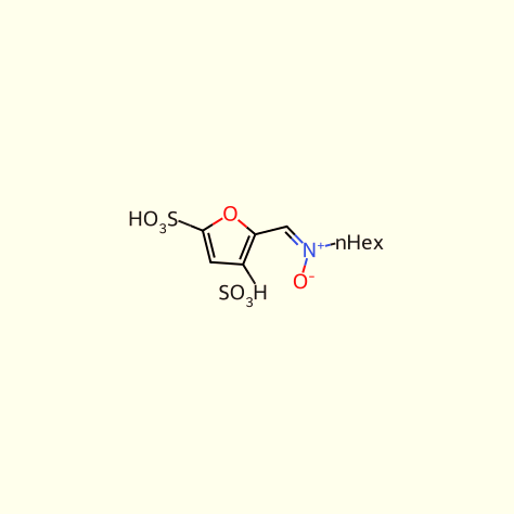 CCCCCC[N+]([O-])=Cc1oc(S(=O)(=O)O)cc1S(=O)(=O)O